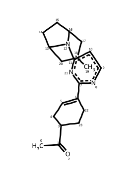 CC(=O)C1CC=C(c2nccc(N3C4CCC3CN(C)C4)n2)CC1